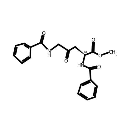 COC(=O)[C@H](CC(=O)CNC(=O)c1ccccc1)NC(=O)c1ccccc1